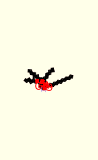 CCCCCCCCCCCCOC(=O)/C=C\C(=O)O[Si](CCCCCCCC)(CCCCCCCC)CCCCCCCC